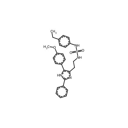 CCc1ccc(NS(=O)(=O)NCCc2nc(-c3ccccc3)[nH]c2-c2ccc(OC)cc2)cc1